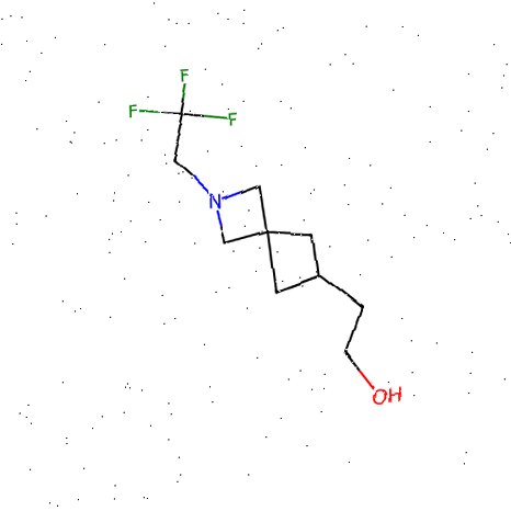 OCCC1CC2(C1)CN(CC(F)(F)F)C2